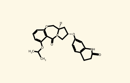 CC(C)Oc1cccc2c1C(=O)N1C[C@@H](Oc3ccc4c(c3)NC(=O)CC4)C[C@@H]1CO2